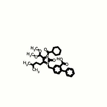 COC(OC)c1c(CCC(C)C)n(Cc2ccc(-c3ccccc3)c(C(=O)O)c2)c(=O)n1C(=O)C1CCCCC1